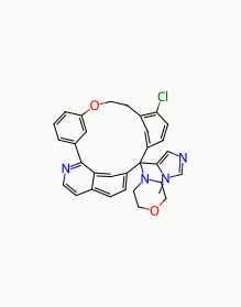 Cn1cncc1C1(N2CCOCC2)c2ccc(Cl)c(c2)CCOc2cccc(c2)-c2nccc3ccc1cc23